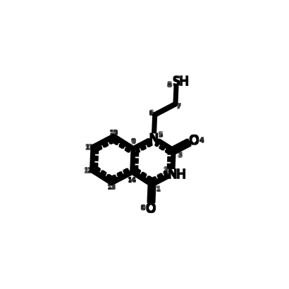 O=c1[nH]c(=O)n(CCS)c2ccccc12